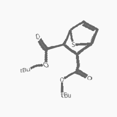 CC(C)(C)OC(=O)C1C2C=CC(S2)C1C(=O)OC(C)(C)C